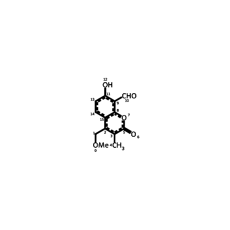 COCc1c(C)c(=O)oc2c(C=O)c(O)ccc12